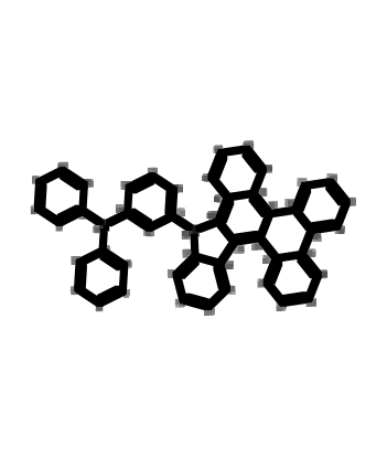 c1ccc(N(c2ccccc2)c2cccc(-n3c4ccccc4c4c5c6ccccc6c6ccccc6c5c5ccccc5c43)c2)cc1